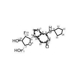 OC[C@H]1O[C@@H](n2cnc3c(NC4CCCC4)nc(Cl)cc32)[C@@H](F)[C@@H]1O